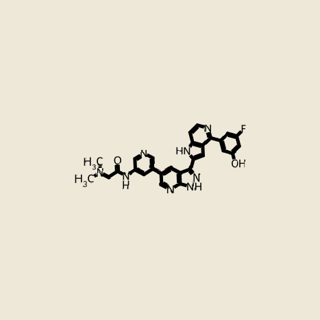 CN(C)CC(=O)Nc1cncc(-c2cnc3[nH]nc(-c4cc5c(-c6cc(O)cc(F)c6)nccc5[nH]4)c3c2)c1